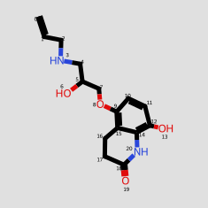 C=CCNCC(O)COc1ccc(O)c2c1CCC(=O)N2